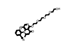 Cc1cc(=O)c2c(OCCOCCOCCOCCO)ncc(Cl)c2n1-c1c(Cl)cccc1C#N